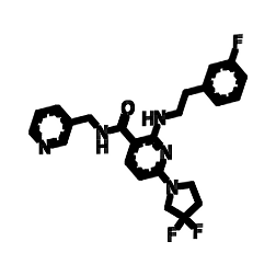 O=C(NCc1cccnc1)c1ccc(N2CCC(F)(F)C2)nc1NCCc1cccc(F)c1